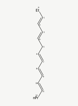 [CH2]CC=CC=CCC=CC=CC=CCCC